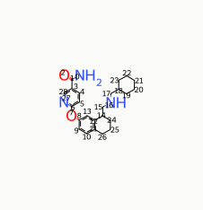 NC(=O)c1ccc(Oc2ccc3c(c2)C(CNCC2CCCCC2)CCC3)nc1